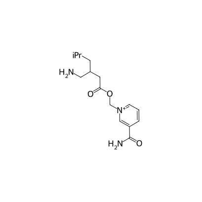 CC(C)CC(CN)CC(=O)OC[n+]1cccc(C(N)=O)c1